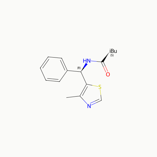 CC[C@H](C)C(=O)N[C@H](c1ccccc1)c1scnc1C